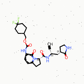 C#C[C@H](C[C@@H]1CCNC1=O)NC(=O)[C@@H]1CCc2ccc(NC(=O)OCC3CCC(F)(F)CC3)c(=O)n21